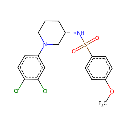 O=S(=O)(N[C@H]1CCCN(c2ccc(Cl)c(Cl)c2)C1)c1ccc(OC(F)(F)F)cc1